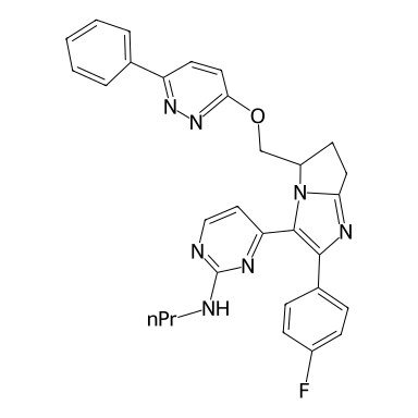 CCCNc1nccc(-c2c(-c3ccc(F)cc3)nc3n2C(COc2ccc(-c4ccccc4)nn2)CC3)n1